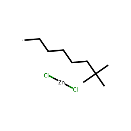 [CH2]CCCCCC(C)(C)C.[Cl][Zn][Cl]